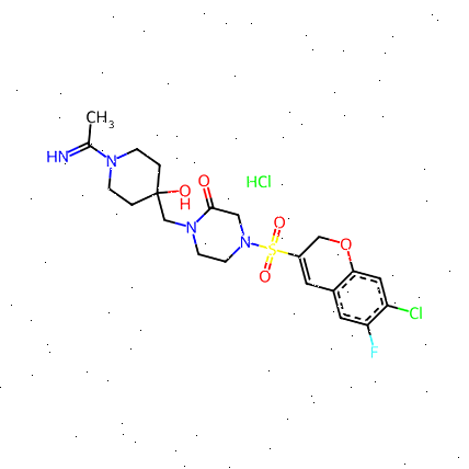 CC(=N)N1CCC(O)(CN2CCN(S(=O)(=O)C3=Cc4cc(F)c(Cl)cc4OC3)CC2=O)CC1.Cl